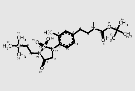 Cc1cc(CCNC(=O)OC(C)(C)C)ccc1N1CC(=O)N(CC[Si](C)(C)C)S1(=O)=O